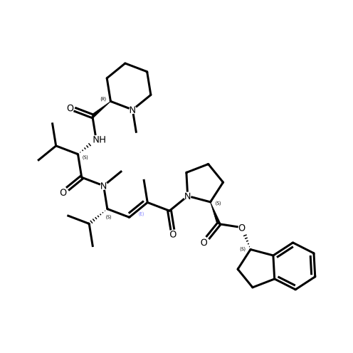 C/C(=C\[C@H](C(C)C)N(C)C(=O)[C@@H](NC(=O)[C@H]1CCCCN1C)C(C)C)C(=O)N1CCC[C@H]1C(=O)O[C@H]1CCc2ccccc21